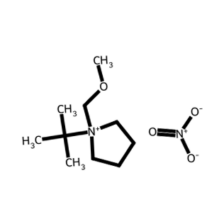 COC[N+]1(C(C)(C)C)CCCC1.O=[N+]([O-])[O-]